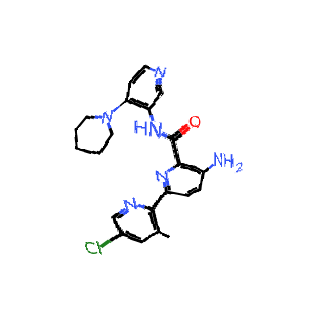 Cc1cc(Cl)cnc1-c1ccc(N)c(C(=O)Nc2cnccc2N2CCCCC2)n1